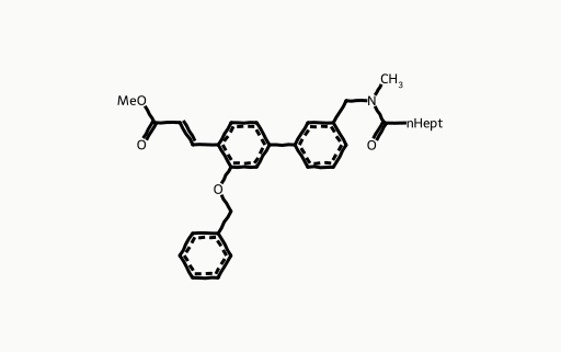 CCCCCCCC(=O)N(C)Cc1cccc(-c2ccc(C=CC(=O)OC)c(OCc3ccccc3)c2)c1